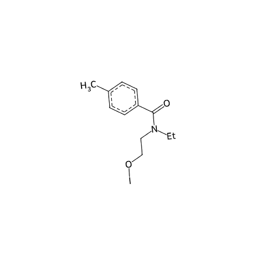 CCN(CCOI)C(=O)c1ccc(C)cc1